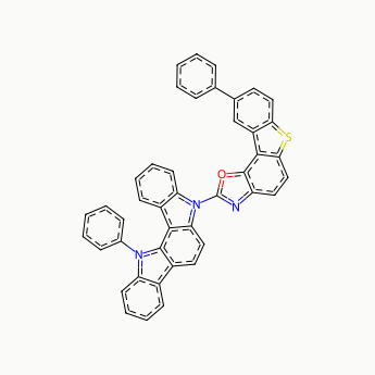 c1ccc(-c2ccc3sc4ccc5nc(-n6c7ccccc7c7c6ccc6c8ccccc8n(-c8ccccc8)c67)oc5c4c3c2)cc1